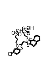 O=S(=O)(O)CCCN1/C(=C/c2sc3ccc4ccccc4c3[n+]2CCCS(=O)(=O)O)Sc2ccc(Cl)cc21